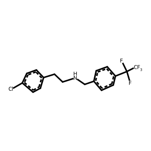 FC(F)(F)C(F)(F)c1ccc(CNCCc2ccc(Cl)cc2)cc1